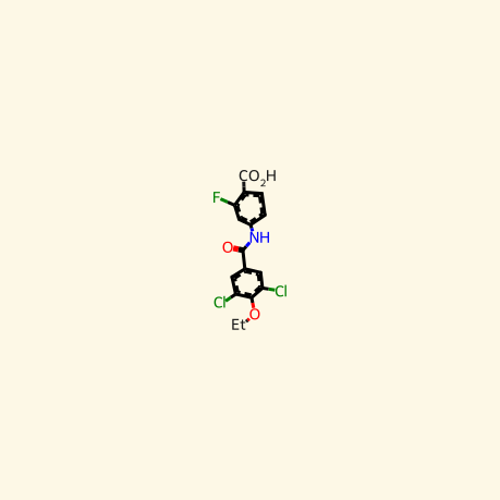 CCOc1c(Cl)cc(C(=O)Nc2ccc(C(=O)O)c(F)c2)cc1Cl